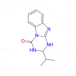 CC(C)C1NC(=O)n2c(nc3ccccc32)N1